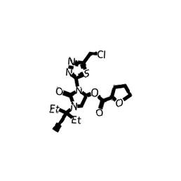 C#CC(CC)(CC)N1CC(OC(=O)C2CCCO2)N(c2nnc(CCl)s2)C1=O